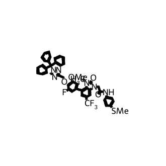 COc1cc(-c2cc(C(F)(F)F)cc3c2n(C)c(=O)n3CC(=O)Nc2ccc(SC)cc2)cc(F)c1OCc1ncn(C(c2ccccc2)(c2ccccc2)c2ccccc2)n1